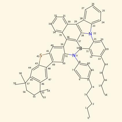 CCCCCc1ccc(N2B3c4cc(CCCCC)ccc4-n4c5ccccc5c5c6ccccc6c(c3c54)-c3cc4sc5cc6c(cc5c4cc32)C(C)(C)CCC6(C)C)cc1